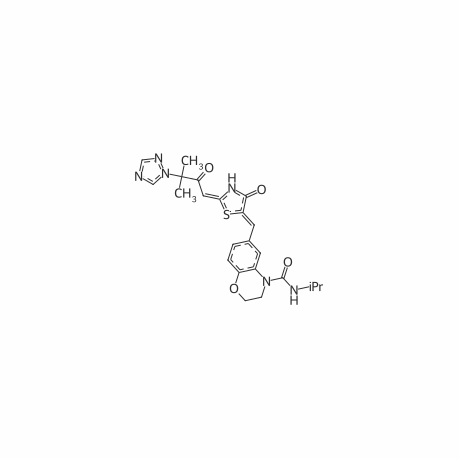 CC(C)NC(=O)N1CCOc2ccc(/C=c3\s/c(=C/C(=O)C(C)(C)n4cncn4)[nH]c3=O)cc21